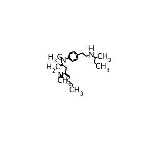 C=N/C(=C\SCC)CC(=C)N(C)c1ccc(CCNC(C)CC)cc1